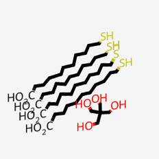 O=C(O)CCCCCCCCCCS.O=C(O)CCCCCCCCCCS.O=C(O)CCCCCCCCCCS.O=C(O)CCCCCCCCCCS.OCC(CO)(CO)CO